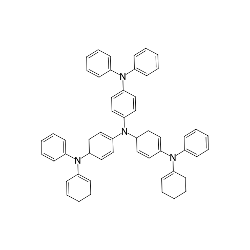 C1=CC(N(c2ccccc2)C2C=CC(N(c3ccc(N(c4ccccc4)c4ccccc4)cc3)C3C=CC(N(C4=CCCCC4)c4ccccc4)=CC3)=CC2)=CCC1